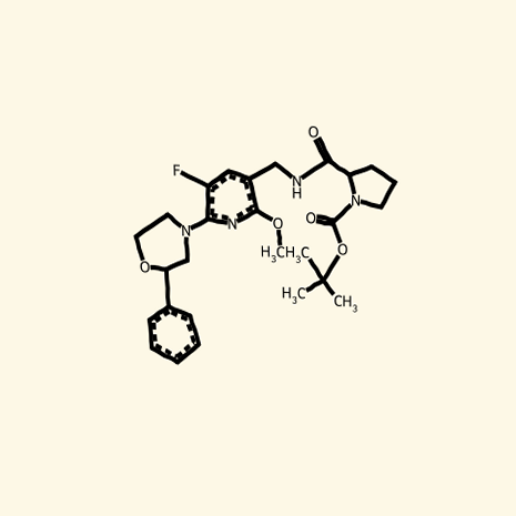 COc1nc(N2CCOC(c3ccccc3)C2)c(F)cc1CNC(=O)C1CCCN1C(=O)OC(C)(C)C